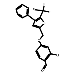 O=Cc1ccc(OCc2cc(-c3ccccc3)c(C(F)(F)F)s2)cc1Cl